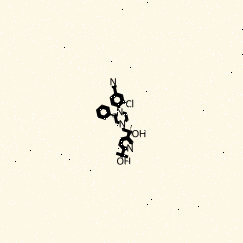 CC(C)(O)c1ccc([C@](C)(O)CN2CCN(c3ccc(C#N)cc3Cl)[C@H](c3ccccc3)C2)cn1